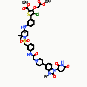 CC(C)n1c(=O)n(C2CCC(=O)NC2=O)c2ccc(C3CCN(CC(=O)Nc4cccc(CS(=O)(=O)N5CC[C@H](Nc6cccc(-c7sc(C(=O)OC(C)(C)C)c(OCC(=O)OC(C)(C)C)c7Cl)c6)CC5(C)C)c4)CC3)cc21